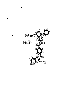 COc1ccc(-c2ccccc2)c2sc(NC(=O)c3ccc(CN(C)Cc4cccnc4)cc3)nc12.Cl